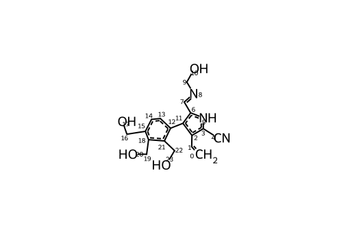 C=Cc1c(C#N)[nH]c(/C=N/CO)c1-c1ccc(CO)c(CO)c1CO